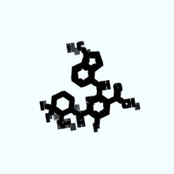 CC(=O)c1cc(F)c(N[C@@H]2CCCC(F)(F)[C@@H]2N)nc1Nc1cccc2c1ccn2C